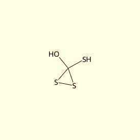 OC1(S)SS1